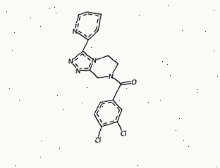 O=C(c1ccc(Cl)c(Cl)c1)N1CCn2c(nnc2-c2ccccn2)C1